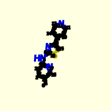 Cc1ccc(Nc2nc(-c3ccncc3)cs2)nc1